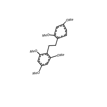 COc1ccc(C[CH]c2c(OC)cc(OC)cc2OC)c(OC)c1